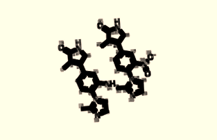 CC1=C(c2ccc(-n3ccnc3C)c(N)c2)CNC1=O.CC1=C(c2ccc(-n3ccnc3C)c([N+](=O)[O-])c2)CNC1=O